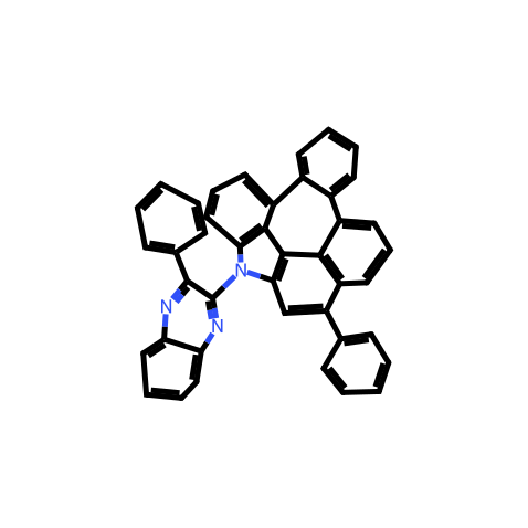 c1ccc(-c2nc3ccccc3nc2-n2c3cccc4c3c3c5c(cccc5c(-c5ccccc5)cc32)-c2ccccc2-4)cc1